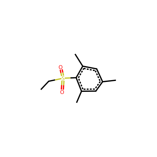 CCS(=O)(=O)c1c(C)cc(C)cc1C